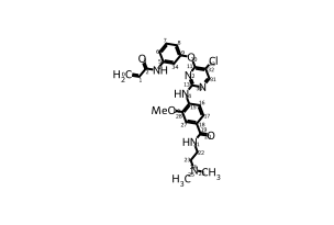 C=CC(=O)Nc1cccc(Oc2nc(Nc3ccc(C(=O)NCCN(C)C)cc3OC)ncc2Cl)c1